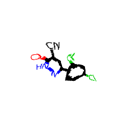 N#Cc1cc(-c2ccc(Cl)cc2Cl)n[nH]c1=O